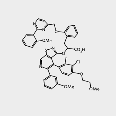 COCCOc1ccc(-c2c(-c3cccc(OC)c3)ncc3snc(OC(Cc4ccccc4OCc4ccnc(-c5ccccc5OC)n4)C(=O)O)c23)c(C)c1Cl